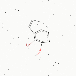 COc1ccc2c(c1Br)C=CC2